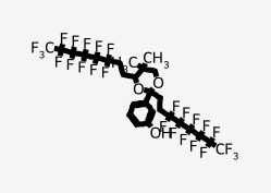 CC1(C)COC(CCC(F)(F)C(F)(F)C(F)(F)C(F)(F)C(F)(F)C(F)(F)F)(c2cccc(O)c2)OC1CCC(F)(F)C(F)(F)C(F)(F)C(F)(F)C(F)(F)C(F)(F)F